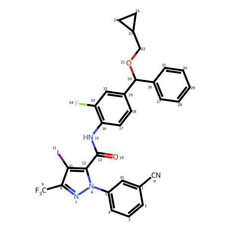 N#Cc1cccc(-n2nc(C(F)(F)F)c(I)c2C(=O)Nc2ccc(C(OCC3CC3)c3ccccc3)cc2F)c1